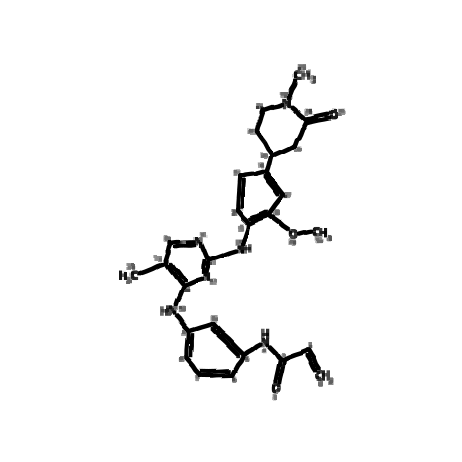 C=CC(=O)Nc1cccc(Nc2nc(Nc3ccc(C4CCN(C)C(=O)C4)cc3OC)ncc2C)c1